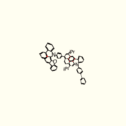 CC(C)c1cc(-c2ccc(N(c3ccccc3-c3ccccc3)c3cccc4c3oc3ccccc34)cc2)c2ccc3c(C(C)C)cc(N(c4ccc(-c5ccccc5)cc4)c4ccccc4-c4ccccc4)c4ccc1c2c34